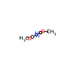 CCCCOc1ccc(-c2ncc(C3CCC(OCC)CC3)cn2)cc1